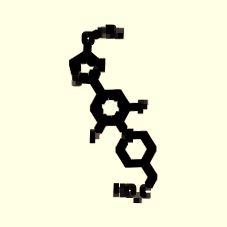 CCCCOc1csc(-c2cc(F)c(N3CCC(CC(=O)O)CC3)c(F)c2)n1